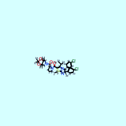 CC[C@@H]1CC[C@@H](C(=O)N2C[C@@H]3OC(C)(C)O[C@@H]3C2)N1C(=O)C1=C(C(C)C)N2C(=N[C@@](C)(c3ccc(Cl)cc3)[C@H]2c2ccc(Cl)cc2)S1